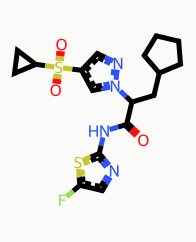 O=C(Nc1ncc(F)s1)C(CC1CCCC1)n1cc(S(=O)(=O)C2CC2)cn1